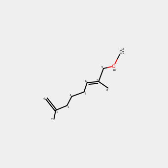 C=C(C)CCC/C=C(\C)COCC